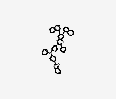 c1ccc(-c2nc3cc(-c4cccc5ccccc45)c(-c4cccc5ccccc45)cc3nc2-c2ccc(N(c3ccccc3)c3ccc(-c4nc5ccccc5o4)cc3)cc2)cc1